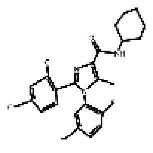 Cc1c(C(=O)NC2CCCCC2)nc(-c2ccc(Cl)cc2Cl)n1-c1cc(F)ccc1F